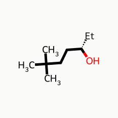 CC[C@H](O)CCC(C)(C)C